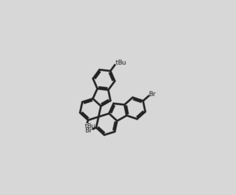 CC(C)(C)C1=CC=C2C(=Cc3cc(C(C)(C)C)ccc32)C12C(Br)=CC=C1C2=Cc2cc(Br)ccc21